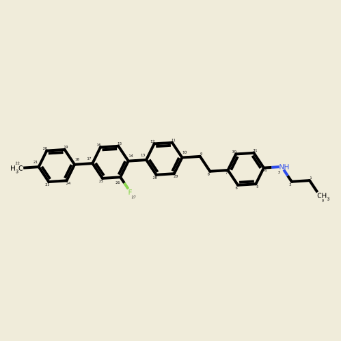 CCCNc1ccc(CCc2ccc(-c3ccc(-c4ccc(C)cc4)cc3F)cc2)cc1